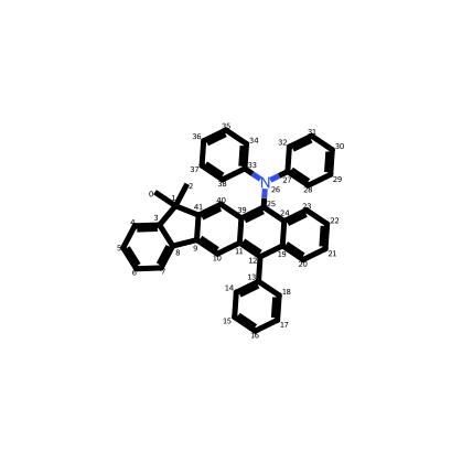 CC1(C)c2ccccc2-c2cc3c(-c4ccccc4)c4ccccc4c(N(c4ccccc4)c4ccccc4)c3cc21